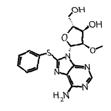 CO[C@@H]1[C@H](O)[C@@H](CO)O[C@H]1n1c(Sc2ccccc2)nc2c(N)ncnc21